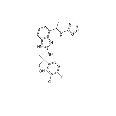 CC(Nc1ncco1)c1cccc2[nH]c(NC(C)(CO)c3ccc(F)c(Cl)c3)nc12